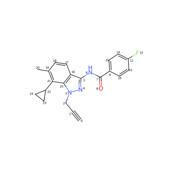 C#CCn1nc(NC(=O)c2ccc(F)cc2)c2ccc(C)c(C3CC3)c21